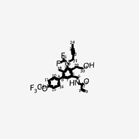 C=CC(=O)NCc1cc(-c2ccc(OC(F)(F)F)cc2)c(C)c(N(CC#CC)C(F)F)c1CCO